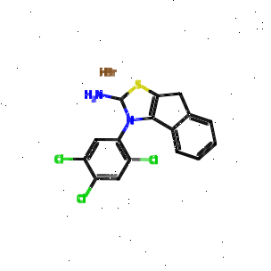 Br.NC1SC2=C(c3ccccc3C2)N1c1cc(Cl)c(Cl)cc1Cl